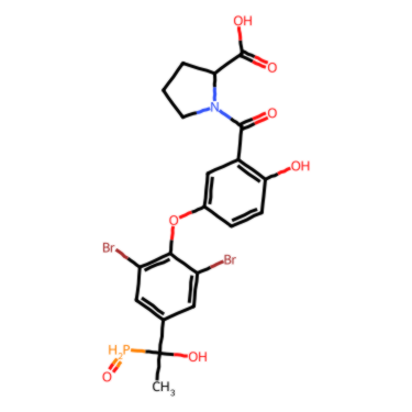 CC(O)([PH2]=O)c1cc(Br)c(Oc2ccc(O)c(C(=O)N3CCCC3C(=O)O)c2)c(Br)c1